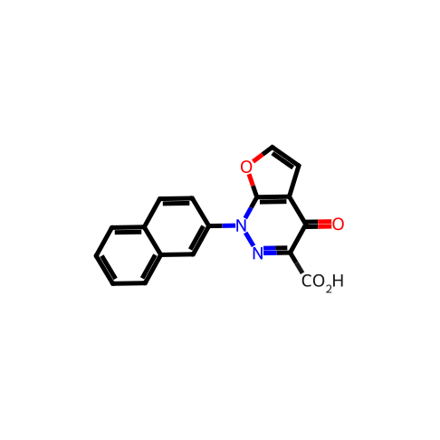 O=C(O)c1nn(-c2ccc3ccccc3c2)c2occc2c1=O